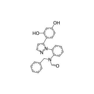 O=CN(Cc1ccccc1)c1ccccc1-n1nccc1-c1ccc(O)cc1O